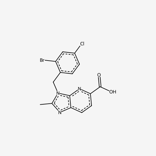 Cc1nc2ccc(C(=O)O)nc2n1Cc1ccc(Cl)cc1Br